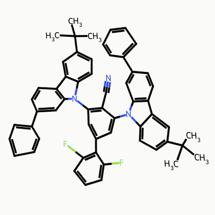 CC(C)(C)c1ccc2c(c1)c1ccc(-c3ccccc3)cc1n2-c1cc(-c2c(F)cccc2F)cc(-n2c3ccc(C(C)(C)C)cc3c3ccc(-c4ccccc4)cc32)c1C#N